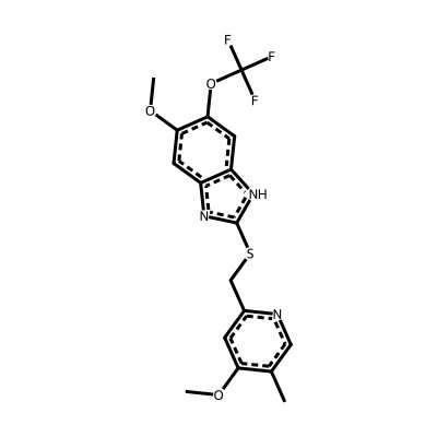 COc1cc(CSc2nc3cc(OC)c(OC(F)(F)F)cc3[nH]2)ncc1C